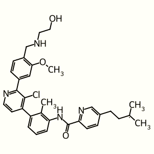 COc1cc(-c2nccc(-c3cccc(NC(=O)c4ccc(CC[C](C)C)cn4)c3C)c2Cl)ccc1CNCCO